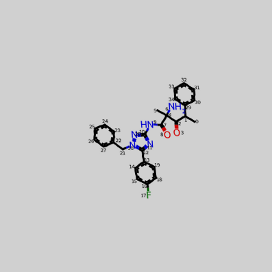 CC(C(=O)C(C)(N)C(=O)Nc1nc(-c2ccc(F)cc2)n(Cc2ccccc2)n1)c1ccccc1